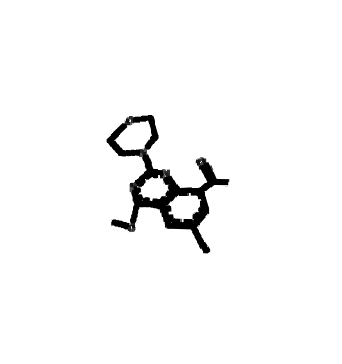 COc1nc(N2CCOCC2)nc2c(C(C)=O)cc(C)cc12